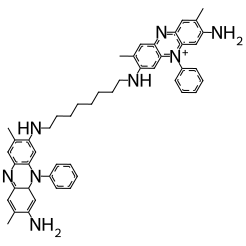 CC1=CC2=Nc3cc(C)c(NCCCCCCCCNc4cc5c(cc4C)nc4cc(C)c(N)cc4[n+]5-c4ccccc4)cc3N(c3ccccc3)C2C=C1N